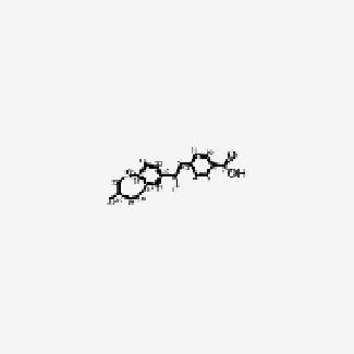 CC(=Cc1ccc(C(=O)O)cc1)c1ccc2c(c1)CCC(C)CS2